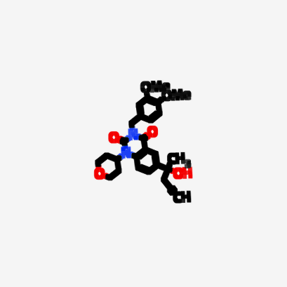 C#CCC(C)(O)c1ccc2c(c1)c(=O)n(Cc1ccc(OC)c(OC)c1)c(=O)n2C1CCOCC1